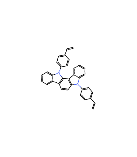 C=Cc1ccc(-n2c3ccccc3c3c2ccc2c4ccccc4n(-c4ccc(C=C)cc4)c23)cc1